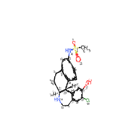 CS(=O)(=O)Nc1ccc2c(c1)CC[C@@H]1NCCc3cc(Cl)c(O)cc3[C@@H]21